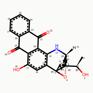 C[C@@H](O)[C@@]12O[C@@]13CC=C=CC#C[C@@H]2Nc1c3cc(O)c2c1C(=O)c1ccccc1C2=O